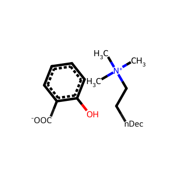 CCCCCCCCCCCC[N+](C)(C)C.O=C([O-])c1ccccc1O